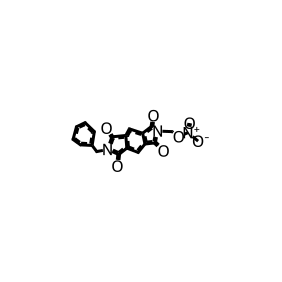 O=c1c2cc3c(=O)n(Cc4ccccc4)c(=O)c3cc2c(=O)n1CO[N+](=O)[O-]